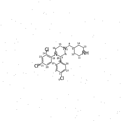 Clc1ccc([C@@H]2CN(CC3CCNCC3)CCN2c2ccc(Cl)cc2Cl)cc1